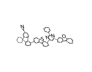 N#Cc1ccc2c(c1)C1(CCCCC1)c1cccc(-c3ccc4sc5c(-c6cc(-c7ccc8c(c7)oc7ccccc78)nc(-c7ccccc7)n6)cccc5c4c3)c1-2